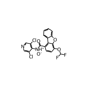 O=C(c1ccc(OC(F)F)c2oc3ccccc3c12)[NH+]([O-])c1c(Cl)cncc1Cl